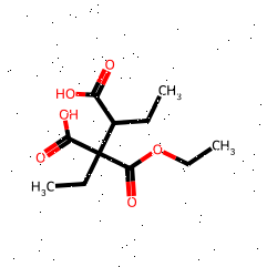 CCOC(=O)C(CC)(C(=O)O)C(CC)C(=O)O